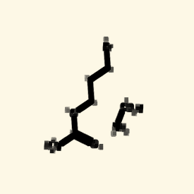 NC(=O)O.NC(=O)OCCCBr